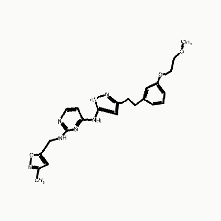 COCCOc1cccc(CCc2cc(Nc3ccnc(NCc4cc(C)no4)n3)[nH]n2)c1